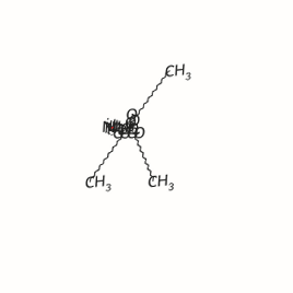 CCCCCCCCCCCCCCCC(=O)OOB(OOC(=O)CCCCCCCCCCCCCCC)OOC(=O)CCCCCCCCCCCCCCC.[Nb].[Nb].[Nb]